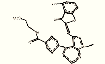 COCCNC(=O)c1ccc(-c2ccnc3c2c(C=C2Oc4cccc(O)c4C2=O)cn3C)cc1